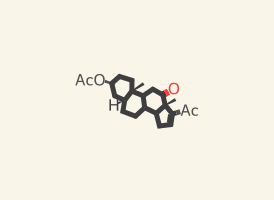 CC(=O)O[C@H]1CC[C@]2(C)C3CC(=O)[C@]4(C)C(C(C)=O)=CCC4C3CC[C@H]2C1